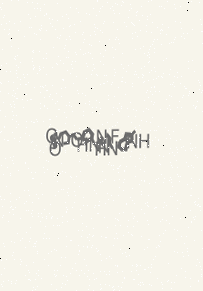 Cc1cc2c(F)c(Nc3ccnc(Nc4cccc(OCC5CCN(S(C)(=O)=O)CC5)c4)n3)ccc2[nH]1